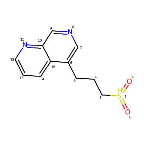 O=[SH](=O)CCCc1cncc2ncccc12